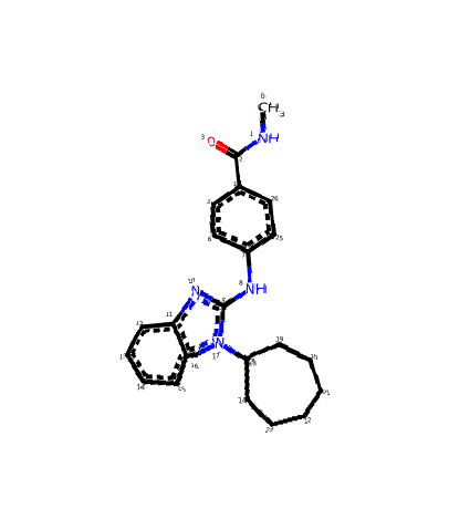 CNC(=O)c1ccc(Nc2nc3ccccc3n2C2CCCCCC2)cc1